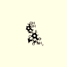 COc1c(N2CC3=CCC(O)(CO)C3C2)c(F)cc2c(=O)n(N)c(=O)n(C3CC3)c12